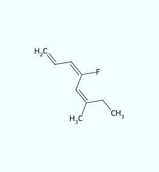 C=C/C=C(F)\C=C(\C)CC